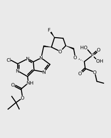 CCOC(=O)[C@H](OC[C@@H]1C[C@H](F)[C@H](Cn2cnc3c(NC(=O)OC(C)(C)C)nc(Cl)nc32)O1)P(=O)(O)O